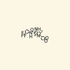 Nc1c(C(=O)Nc2cccc(C(F)(F)F)c2)sc2nc(-c3ccc4c(c3)OCO4)ccc12